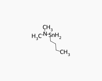 CCC[CH2][SnH2][N](C)C